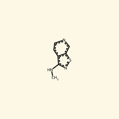 CNc1nsc2cnccc12